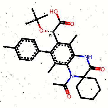 CC(=O)N1c2c(C)c(-c3ccc(C)cc3)c([C@H](OC(C)(C)C)C(=O)O)c(C)c2NC(=O)C12CCCCC2